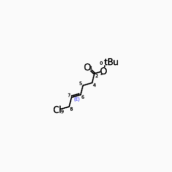 CC(C)(C)OC(=O)CC/C=C/CCl